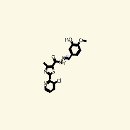 COc1ccc(/C=N/NC(=O)c2sc(-c3ncccc3Cl)nc2C)cc1O